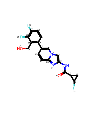 O=C(Nc1cn2cc(-c3ccc(F)c(F)c3CO)ccc2n1)C1CC1F